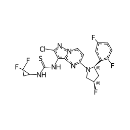 Fc1ccc(F)c([C@H]2C[C@@H](F)CN2c2ccn3nc(Cl)c(NC(=S)NC4CC4(F)F)c3n2)c1